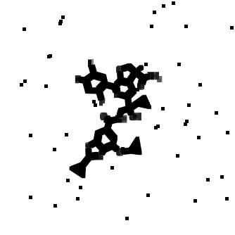 C[C@]1(C(N)=O)COc2c1cc(C(O)(CNC(=O)c1cc(OC3CC3)c3nc(C4CC4)sc3c1)C1CC1)nc2-c1cc(F)c(F)cc1F